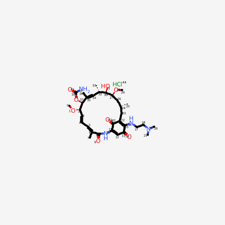 CO[C@H]1/C=C/C=C(\C)C(=O)NC2=CC(=O)C(NCCN(C)C)=C(C[C@@H](C)C[C@H](OC)[C@H](O)[C@@H](C)/C=C(\C)[C@@H]1OC(N)=O)C2=O.Cl